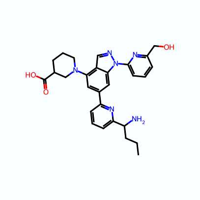 CCCC(N)c1cccc(-c2cc(N3CCCC(C(=O)O)C3)c3cnn(-c4cccc(CO)n4)c3c2)n1